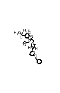 COC(=O)c1cc(OC)c2nc(CN3C[C@@H]4[C@H](C3)[C@H]4c3cccc(OCc4ccccc4)n3)n(C[C@@H]3CCO3)c2c1